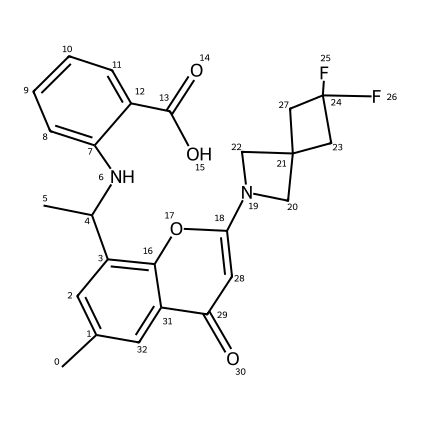 Cc1cc(C(C)Nc2ccccc2C(=O)O)c2oc(N3CC4(C3)CC(F)(F)C4)cc(=O)c2c1